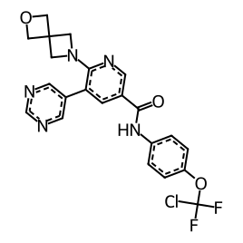 O=C(Nc1ccc(OC(F)(F)Cl)cc1)c1cnc(N2CC3(COC3)C2)c(-c2cncnc2)c1